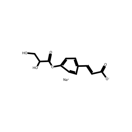 O=C([O-])C=Cc1ccc(OC(=O)C(O)CO)cc1.[Na+]